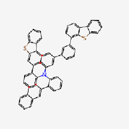 c1cc(-c2cccc(N(c3ccccc3-c3ccc4ccccc4c3)c3ccccc3-c3ccc4c(c3)sc3ccccc34)c2)cc(-c2cccc3c2sc2ccccc23)c1